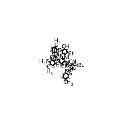 CCc1cc(C)c(C)c(CC)c1Nc1nc(N(c2nc3ccc(C)cc3s2)c2c(CC)cc(C)c(C)c2CC)cc(C)c1N=Nc1c(C#N)c(C(C)(C)C)nn1-c1nc2ccc(C)cc2s1